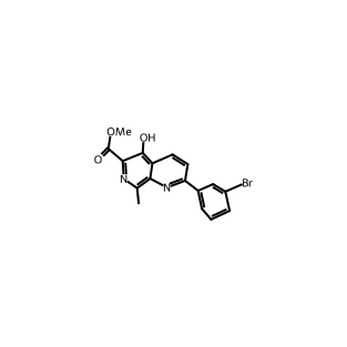 COC(=O)c1nc(C)c2nc(-c3cccc(Br)c3)ccc2c1O